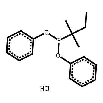 CCC(C)(C)P(Oc1ccccc1)Oc1ccccc1.Cl